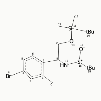 Cc1cc(Br)ccc1C(CO[Si](C)(C)C(C)(C)C)N[S+]([O-])C(C)(C)C